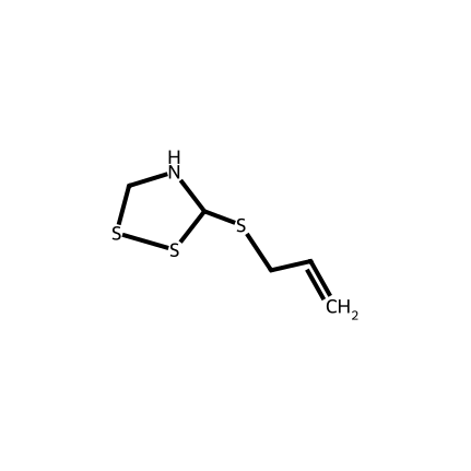 C=CCSC1NCSS1